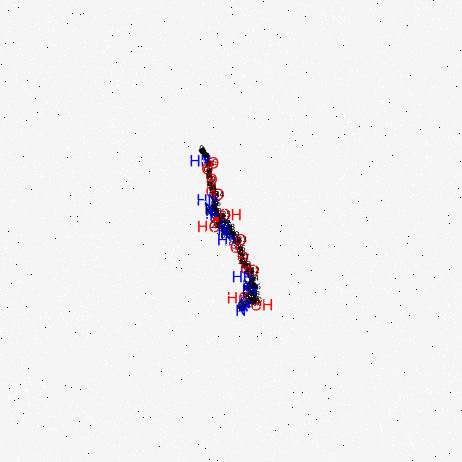 C#CCNC(=O)OCCOCCOC(=O)NCc1cn(CC(CO)(CO)Cn2cc(CNC(=O)OCCOCCOC(=O)NCc3cn(CC(CO)(CO)CN=[N+]=[N-])nn3)nn2)nn1